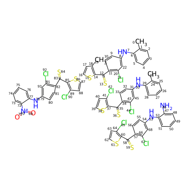 Cc1ccccc1Nc1ccc(C(=S)c2sccc2C)c(Cl)c1.Cc1ccccc1Nc1ccc(C(=S)c2sccc2Cl)c(Cl)c1.Nc1ccccc1Nc1ccc(C(=S)c2sccc2Cl)c(Cl)c1.O=[N+]([O-])c1ccccc1Nc1ccc(C(=S)c2sccc2Cl)c(Cl)c1